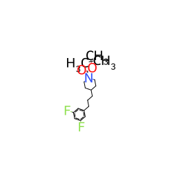 CC(C)(C)OC(=O)N1CCC(CCCc2cc(F)cc(F)c2)CC1